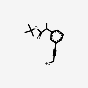 CC(C(=O)OC(C)(C)C)c1cccc(C#CCO)c1